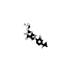 CCOc1nc2nn(-c3ccc(C4(F)CC4)cc3F)cc2c(=O)[nH]1